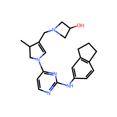 CC1CN(c2ccnc(Nc3ccc4c(c3)CCC4)n2)C=C1CN1CC(O)C1